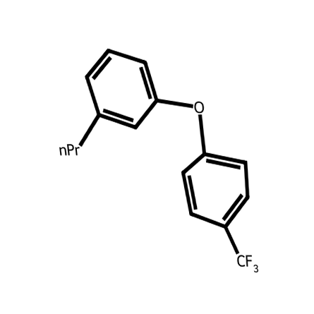 [CH2]CCc1cccc(Oc2ccc(C(F)(F)F)cc2)c1